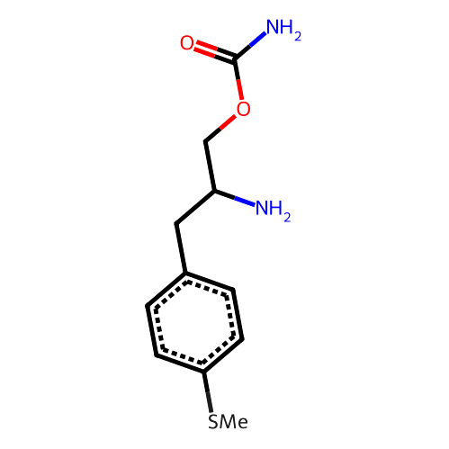 CSc1ccc(CC(N)COC(N)=O)cc1